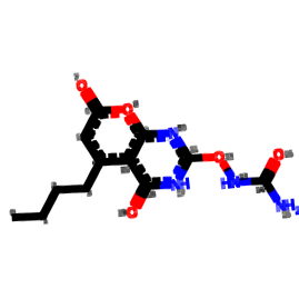 CCCCc1cc(=O)oc2nc(ONC(N)=O)[nH]c(=O)c12